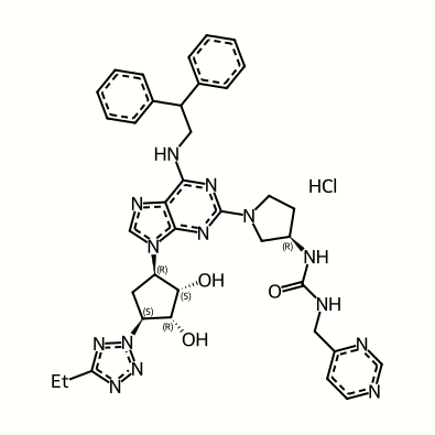 CCc1nnn([C@H]2C[C@@H](n3cnc4c(NCC(c5ccccc5)c5ccccc5)nc(N5CC[C@@H](NC(=O)NCc6ccncn6)C5)nc43)[C@H](O)[C@@H]2O)n1.Cl